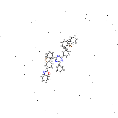 c1ccc(-c2nc(-c3cccc(-c4cccc5c4sc4ccccc45)c3)nc(-c3cccc4sc5cc(-c6nc7ccccc7o6)ccc5c34)n2)cc1